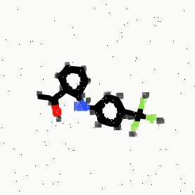 CC(=O)c1ccccc1Nc1ccc(C(F)(F)F)cc1